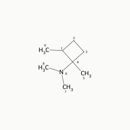 CC1CCC1(C)N(C)C